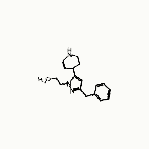 CCCn1nc(Cc2ccccc2)cc1C1CCNCC1